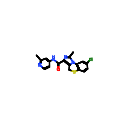 Cc1cc(NC(=O)c2nc(C)n3c2CSc2ccc(Cl)cc2-3)ccn1